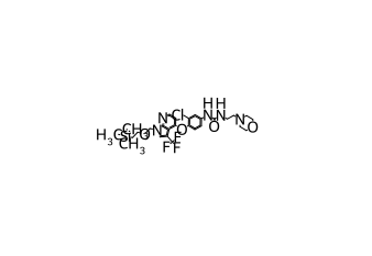 C[Si](C)(C)CCOCn1cc(C(F)(F)F)c2c(Oc3ccc(NC(=O)NCCN4CCOCC4)cc3Cl)ccnc21